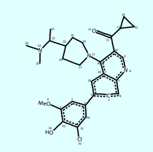 COc1cc(-c2ccc3ncc(C(=O)C4CC4)c(N4CCC(C(C)N(C)C)CC4)c3c2)cc(Cl)c1O